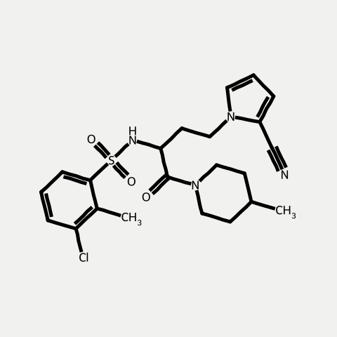 Cc1c(Cl)cccc1S(=O)(=O)NC(CCn1cccc1C#N)C(=O)N1CCC(C)CC1